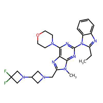 CCc1nc2ccccc2n1-c1nc(N2CCOCC2)c2nc(CN3CC(N4CC(F)(F)C4)C3)n(C)c2n1